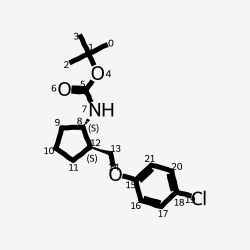 CC(C)(C)OC(=O)N[C@H]1CCC[C@@H]1COc1ccc(Cl)cc1